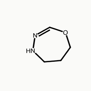 C1=NNCCCO1